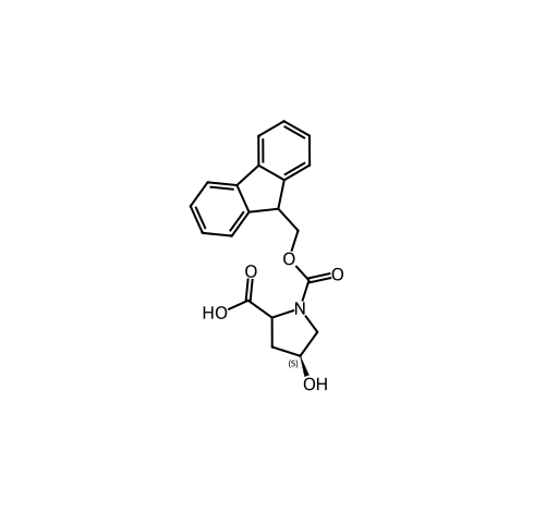 O=C(O)C1C[C@H](O)CN1C(=O)OCC1c2ccccc2-c2ccccc21